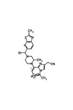 CCC(c1ccc2nc(C)sc2n1)N1CCN(/C(=C/C=O)c2nc(CC#N)cn2N(C)C)C(C)C1